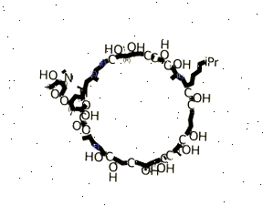 C/C1=C\C=C\C[C@@H](O)[C@H](C)[C@@H](O)CCC[C@@H](O)C[C@H](O)/C(C)=C/C(CCCCC(C)C)CC(O)CCCC[C@H](O)C[C@@H](O)[C@@H](C)CC[C@@H](O)[C@H](C)[C@@H](O)CCC[C@H](O)C[C@H](O)/C=C/C(C)OC(=O)CC2(O)O[C@@H](C[C@H](OC3C[C@@H](N(C)C)[C@H](O)[C@@H](C)O3)[C@H]2C)[C@@H](C)C1